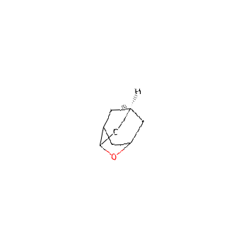 C1C2C[C@@H]3CC1C(C3)O2